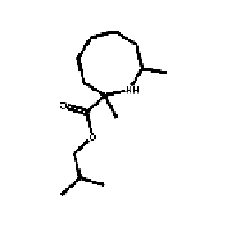 CC(C)COC(=O)C1(C)CCCCCC(C)N1